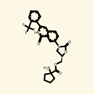 NC1(C(=O)OC[C@H]2CN(c3ccc4cc(-c5ccccc5C(F)(F)F)[nH]c(=O)c4c3)C(=O)O2)CCCC1